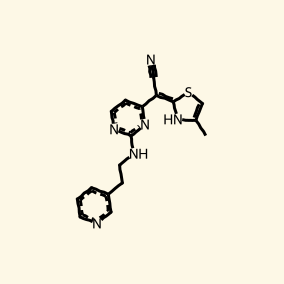 CC1=CS/C(=C(\C#N)c2ccnc(NCCc3cccnc3)n2)N1